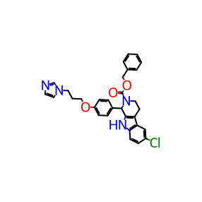 O=C(OCc1ccccc1)N1CCc2c([nH]c3ccc(Cl)cc23)C1c1ccc(OCCCn2ccnc2)cc1